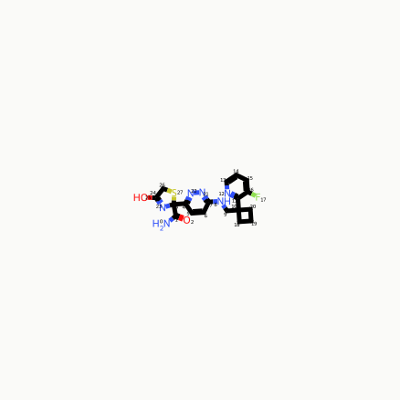 NC(=O)C1(c2ccc(NCC3(c4ncccc4F)CCC3)nn2)N=C(O)CS1